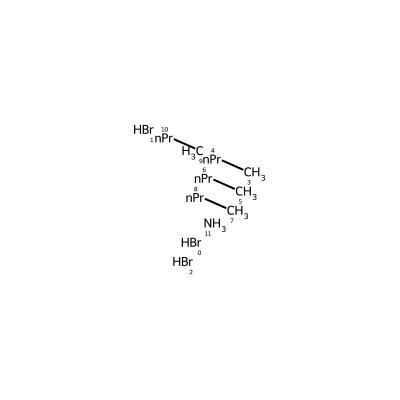 Br.Br.Br.CCCC.CCCC.CCCC.CCCC.N